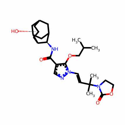 CC(C)COc1c(C(=O)N[C@@H]2C3CC4CC(C3)C2C[C@@H](O)C4)cnn1/C=C/C(C)(C)N1CCOC1=O